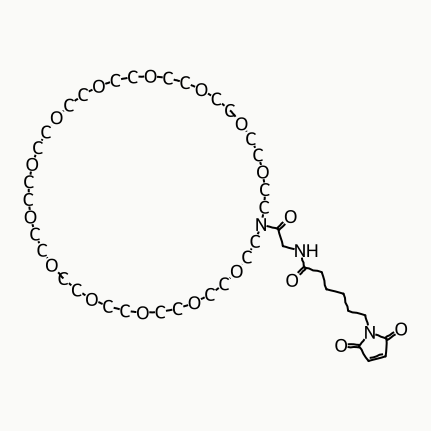 O=C(CCCCCN1C(=O)C=CC1=O)NCC(=O)N1CCOCCOCCOCCOCCOCCOCCOCCOCCOCCOCCOCCOCCOCC1